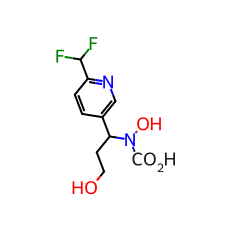 O=C(O)N(O)C(CCO)c1ccc(C(F)F)nc1